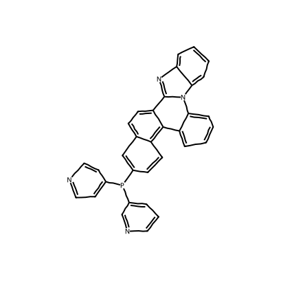 c1cncc(P(c2ccncc2)c2ccc3c(ccc4c3c3ccccc3n3c5ccccc5nc43)c2)c1